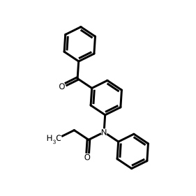 CCC(=O)N(c1ccccc1)c1cccc(C(=O)c2ccccc2)c1